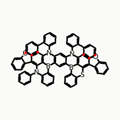 c1ccc(-c2ccccc2N2c3cc4c(cc3B3c5ccccc5Sc5c3c2cc2oc3ccccc3c52)B2c3ccccc3N(c3ccccc3)c3c2c(cc2oc5ccccc5c32)N4c2ccccc2-c2ccccc2)cc1